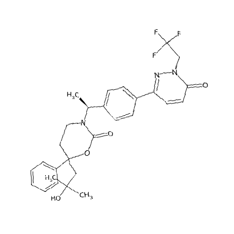 C[C@@H](c1ccc(-c2ccc(=O)n(CC(F)(F)F)n2)cc1)N1CCC(CC(C)(C)O)(c2ccccc2)OC1=O